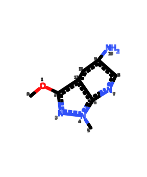 COc1nn(C)c2ncc(N)cc12